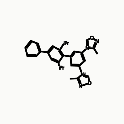 Cc1noc[n+]1-c1cc(-c2c(C(C)C)cc(-c3ccccc3)cc2C(C)C)cc(-[n+]2conc2C)c1